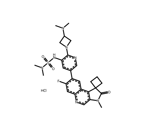 CN1C(=O)C2(CCC2)c2c1cnc1cc(F)c(-c3cnc(N4CC(N(C)C)C4)c(NS(=O)(=O)N(C)C)c3)cc21.Cl